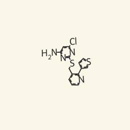 Nc1cc(Cl)nc(SCc2cccnc2-c2ccsc2)n1